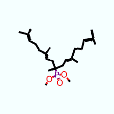 COP(=O)(OC)C(C)(C/C=C(\C)CCC=C(C)C)C/C=C(\C)CCC=C(C)C